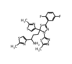 Cc1nc(C(N)CCC2(c3csc(C)n3)SC(c3cc(F)ccc3F)=NN2c2nnc(C)s2)cs1